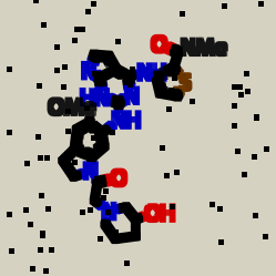 CNC(=O)c1sccc1Nc1nc(Nc2cc3c(cc2OC)CCN3C(=O)CN2CCCC(O)C2)[nH]c2nccc1-2